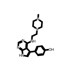 CN1CCN(CCNc2ncnc3[nH]cc(-c4ccc(O)cc4)c23)CC1